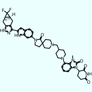 Cn1c(=O)n(C2CCC(=O)NC2=O)c2cccc(N3CCC(CN4CCC5(CC4)CCN(c4ccc6cc(-c7n[nH]c8c7C[C@@H]7C(F)(F)[C@]7(C)C8)[nH]c6c4)C5=O)CC3)c21